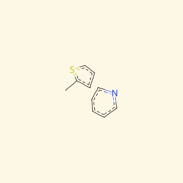 Cc1cccs1.c1ccncc1